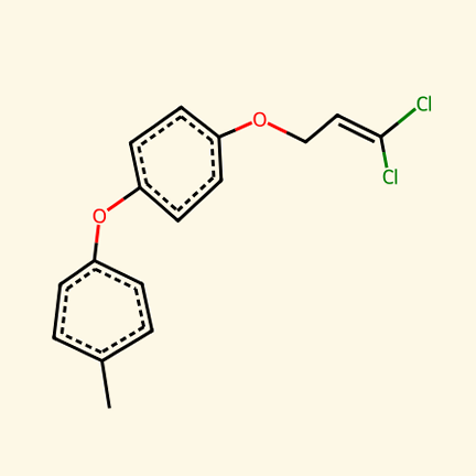 Cc1ccc(Oc2ccc(OCC=C(Cl)Cl)cc2)cc1